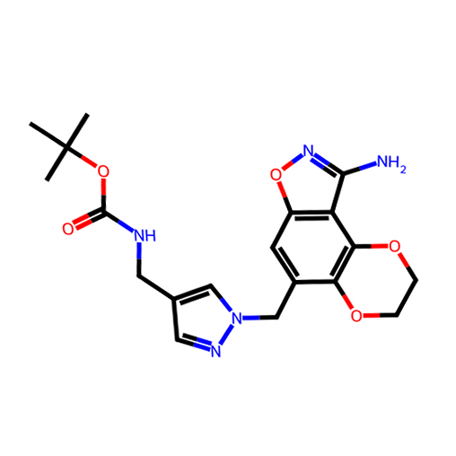 CC(C)(C)OC(=O)NCc1cnn(Cc2cc3onc(N)c3c3c2OCCO3)c1